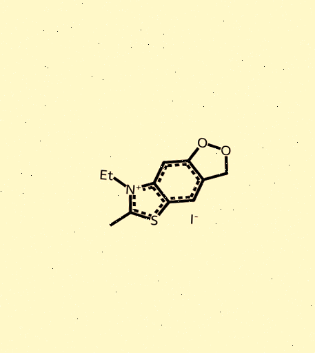 CC[n+]1c(C)sc2cc3c(cc21)OOC3.[I-]